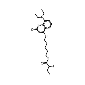 CCN(CC)c1cccc2c(OCCCCCSC(=O)C(I)CI)cc(=O)sc12